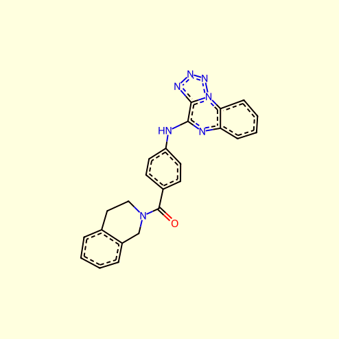 O=C(c1ccc(Nc2nc3ccccc3n3nnnc23)cc1)N1CCc2ccccc2C1